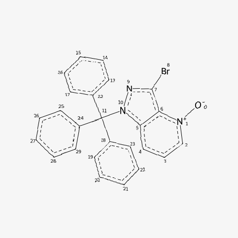 [O-][n+]1cccc2c1c(Br)nn2C(c1ccccc1)(c1ccccc1)c1ccccc1